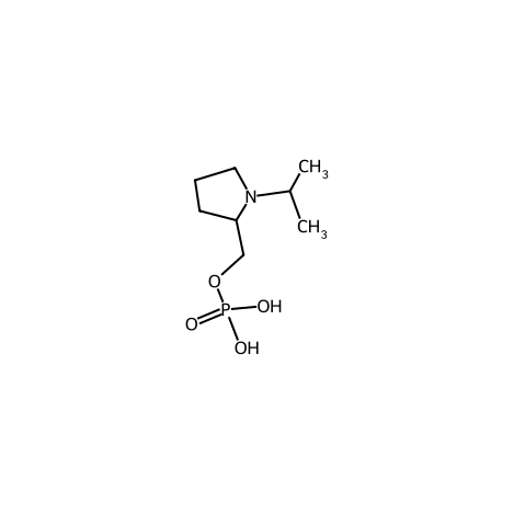 CC(C)N1CCCC1COP(=O)(O)O